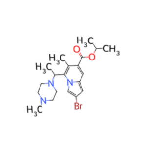 Cc1c(C(=O)OC(C)C)cc2cc(Br)cn2c1C(C)N1CCN(C)CC1